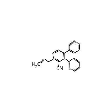 C=CCc1ccc(-c2ccccc2)c(-c2ccccc2)c1C#N